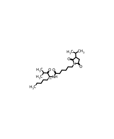 CCCCC[C@H](NC(=O)CCCCCN1C(=O)CC(C(C)C)C1=O)C(=O)C(C)C